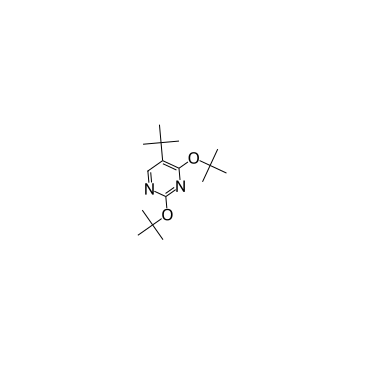 CC(C)(C)Oc1ncc(C(C)(C)C)c(OC(C)(C)C)n1